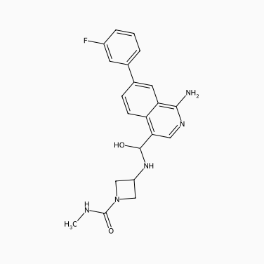 CNC(=O)N1CC(NC(O)c2cnc(N)c3cc(-c4cccc(F)c4)ccc23)C1